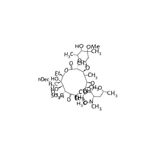 CCC(=O)OC1C(O[C@@H]2C(C)[C@H](OC3CC(C)(OC)C(O)C(C)O3)[C@@H](C)C(=O)O[C@H](CC)[C@@](C)(O)[C@H](O)[C@@H](C)C(=O)[C@H](C)C[C@@]2(C)O)OC(C)CC1N(C)C.CCCCCCCCCCCCOS(=O)(=O)O